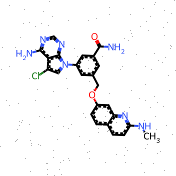 CNc1ccc2ccc(OCc3cc(C(N)=O)cc(-n4cc(Cl)c5c(N)ncnc54)c3)cc2n1